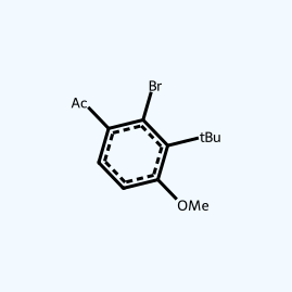 COc1ccc(C(C)=O)c(Br)c1C(C)(C)C